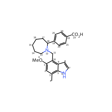 COc1cc(C)c2[nH]ccc2c1CN1CCCCCC1c1ccc(C(=O)O)cc1